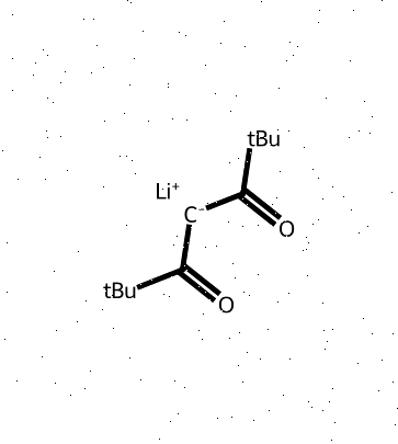 CC(C)(C)C(=O)[CH-]C(=O)C(C)(C)C.[Li+]